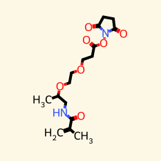 C=C(C)C(=O)NCC(C)OCCOCCC(=O)ON1C(=O)CCC1=O